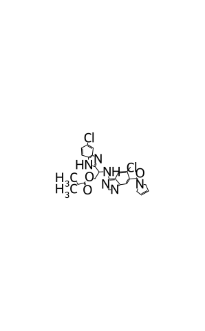 CC(C)C(=O)OCC(Nc1ncnc2cc(C(=O)N3CC=CC3)c(Cl)cc12)c1nc2cc(Cl)ccc2[nH]1